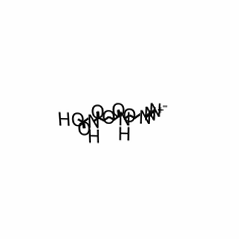 [N-]=[N+]=NCCONC(=O)COCC(=O)NCC(=O)O